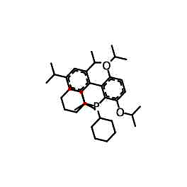 CC(C)Oc1ccc(OC(C)C)c(P(C2CCCCC2)C2CCCCC2)c1-c1c(C(C)C)cc(C(C)C)cc1C(C)C